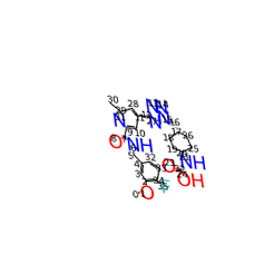 COc1cc(CNC(=O)c2cc(-c3nnn(C[C@H]4CC[C@H](NC(=O)O)CC4)n3)cc(C)n2)ccc1F